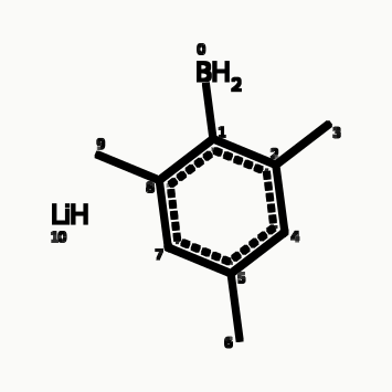 Bc1c(C)cc(C)cc1C.[LiH]